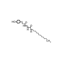 CCCCCCCCCCCCNC(=O)NCNC(=O)CSc1ccc(O)cc1